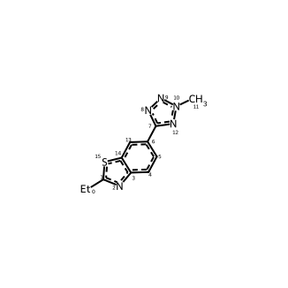 CCc1nc2ccc(-c3nnn(C)n3)cc2s1